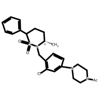 CC(=O)N1CCN(c2ccc(CN3[C@@H](C)CCC(c4ccccc4)S3(=O)=O)c(Cl)c2)CC1